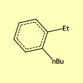 [CH2]CCCc1ccccc1CC